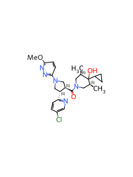 COc1ccc(N2C[C@@H](C(=O)N3C[C@@H](C)C(O)(C4CC4)[C@@H](C)C3)[C@H](c3ccc(Cl)cn3)C2)nn1